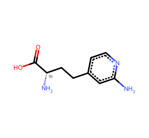 Nc1cc(CC[C@H](N)C(=O)O)ccn1